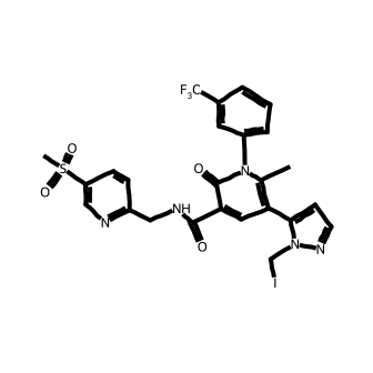 Cc1c(-c2ccnn2CI)cc(C(=O)NCc2ccc(S(C)(=O)=O)cn2)c(=O)n1-c1cccc(C(F)(F)F)c1